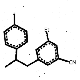 CCc1cc(C#N)cc(CC(C)c2ccc(C)cc2)c1